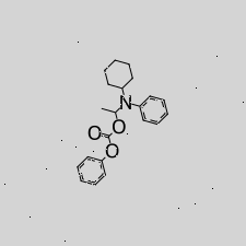 CC(OC(=O)Oc1ccccc1)N(c1ccccc1)C1CCCCC1